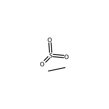 CC.O=S(=O)=O